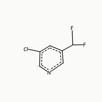 FC(F)c1cn[c]c(Cl)c1